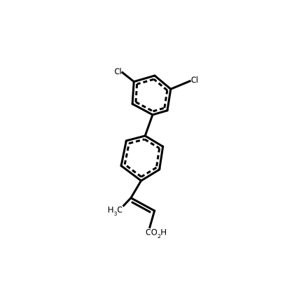 CC(=CC(=O)O)c1ccc(-c2cc(Cl)cc(Cl)c2)cc1